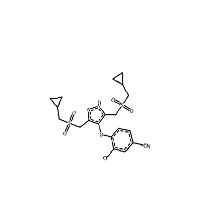 N#Cc1ccc(Oc2c(CS(=O)(=O)CC3CC3)n[nH]c2CS(=O)(=O)CC2CC2)c(Cl)c1